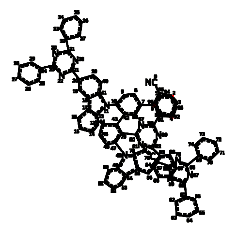 N#Cc1ccccc1-c1ccc(-n2c3ccccc3c3cc(-c4nc(-c5ccccc5)nc(-c5ccccc5)n4)ccc32)c(-c2cccc(-n3c4ccccc4c4cc(-c5nc(-c6ccccc6)nc(-c6ccccc6)n5)ccc43)c2-c2nc(-c3ccccc3)nc(-c3ccccc3)n2)c1